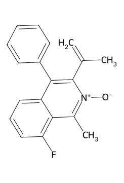 C=C(C)c1c(-c2ccccc2)c2cccc(F)c2c(C)[n+]1[O-]